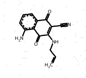 C=CCNC1=C(C#N)C(=O)c2cccc(N)c2C1=O